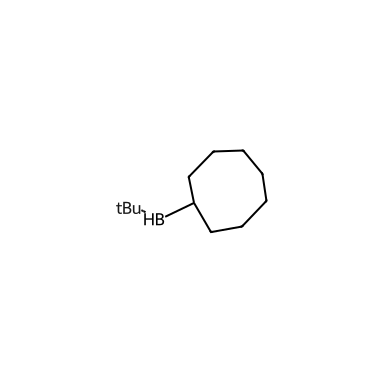 CC(C)(C)BC1CCCCCCC1